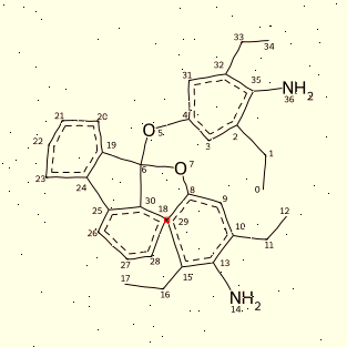 CCc1cc(OC2(Oc3cc(CC)c(N)c(CC)c3)c3ccccc3-c3ccccc32)cc(CC)c1N